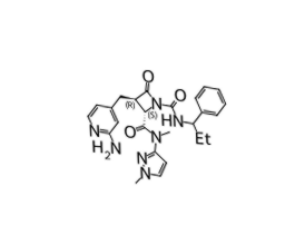 CCC(NC(=O)N1C(=O)[C@H](Cc2ccnc(N)c2)[C@H]1C(=O)N(C)c1ccn(C)n1)c1ccccc1